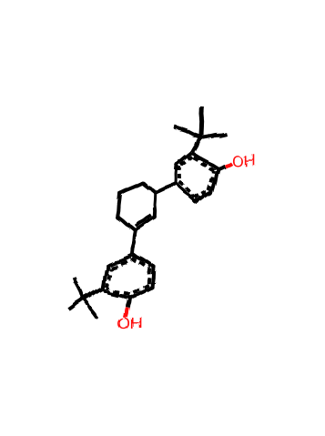 CC(C)(C)c1cc(C2=CC(c3ccc(O)c(C(C)(C)C)c3)CCC2)ccc1O